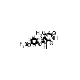 CN1CC(=O)NC(=O)c2[nH]c(Oc3cccc(OC(F)(F)F)c3)nc21